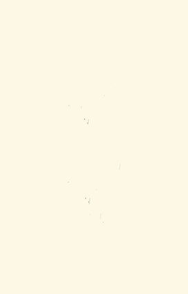 C=NC(=O)c1c(Cl)cc2c(c1Cl)CCN(C(=O)c1ccc(C)s1)C2